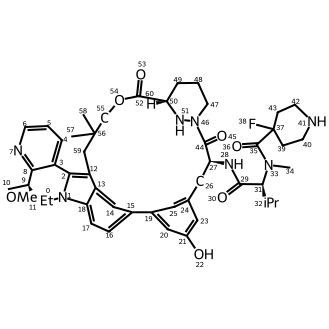 CCn1c(-c2cccnc2[C@H](C)OC)c2c3cc(ccc31)-c1cc(O)cc(c1)C[C@H](NC(=O)[C@H](C(C)C)N(C)C(=O)C1(F)CCNCC1)C(=O)N1CCC[C@H](N1)C(=O)OCC(C)(C)C2